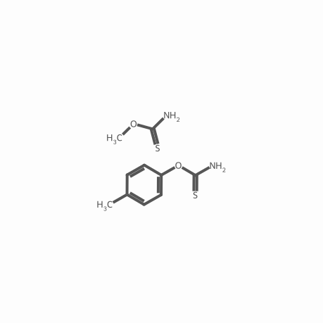 COC(N)=S.Cc1ccc(OC(N)=S)cc1